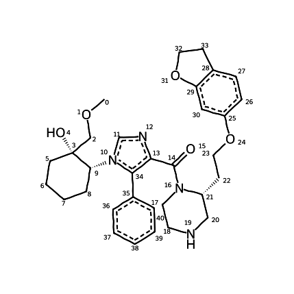 COC[C@]1(O)CCCC[C@H]1n1cnc(C(=O)N2CCNC[C@H]2CCOc2ccc3c(c2)OCC3)c1-c1ccccc1